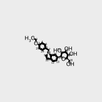 CCOc1ccc(Cn2ccc3ccc([C@@H]4O[C@H](CO)[C@@H](O)[C@H](O)[C@H]4O)cc32)cc1